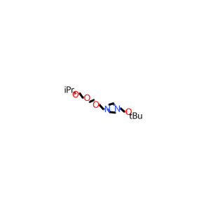 CC(C)OCCOCCOCCN1CCN(CCOC(C)(C)C)CC1